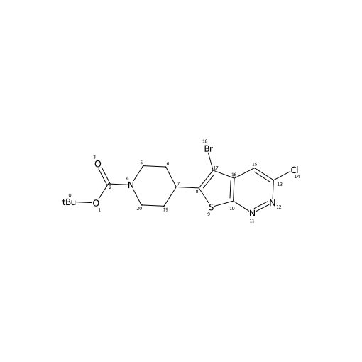 CC(C)(C)OC(=O)N1CCC(c2sc3nnc(Cl)cc3c2Br)CC1